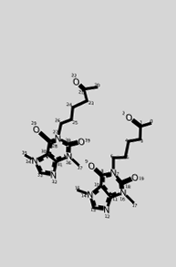 CC(=O)CCCCn1c(=O)c2c(ncn2C)n(C)c1=O.CC(=O)CCCCn1c(=O)c2c(ncn2C)n(C)c1=O